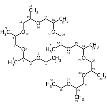 CCOCC(C)OCC(C)OCC(C)OCC(C)OCC(C)OCC(C)OCC(C)OCC(C)OCC